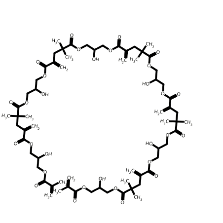 C=C(C)C(=O)OCC(O)COC(=O)C(=C)CC(C)(C)C(=O)OCC(O)COC(=O)C(=C)CC(C)(C)C(=O)OCC(O)COC(=O)C(=C)CC(C)(C)C(=O)OCC(O)COC(=O)C(=C)CC(C)(C)C(=O)OCC(O)COC(=O)C(=C)CC(C)(C)C(=O)OCC(O)COC(=O)C(=C)C